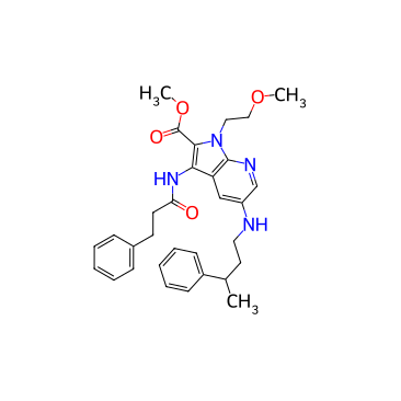 COCCn1c(C(=O)OC)c(NC(=O)CCc2ccccc2)c2cc(NCCC(C)c3ccccc3)cnc21